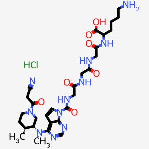 C[C@@H]1CCN(C(=O)CC#N)C[C@@H]1N(C)c1ncnc2c1ccn2C(=O)NCC(=O)NCC(=O)NCC(=O)NC(CCCCN)C(=O)O.Cl